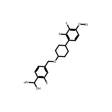 CCCC(O)c1ccc(COC2CCC(c3ccc(OCC)c(F)c3F)CC2)cc1F